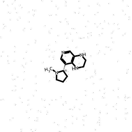 CN1CCC[C@H]1c1cncc2c1NCCN2